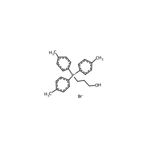 Cc1ccc([P+](CCCO)(c2ccc(C)cc2)c2ccc(C)cc2)cc1.[Br-]